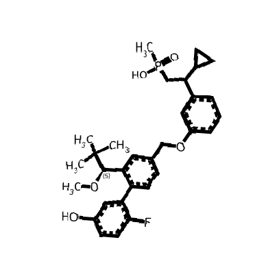 CO[C@H](c1cc(COc2cccc(C(CP(C)(=O)O)C3CC3)c2)ccc1-c1cc(O)ccc1F)C(C)(C)C